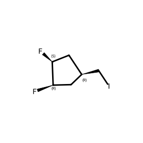 F[C@@H]1C[C@H](CI)C[C@@H]1F